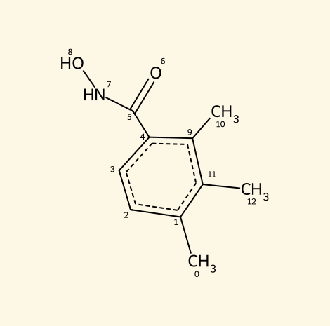 Cc1ccc(C(=O)NO)c(C)c1C